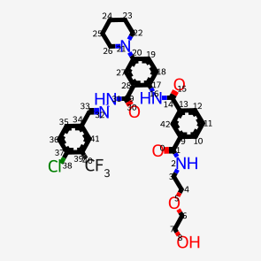 O=C(NCCOCCO)c1cccc(C(=O)Nc2ccc(N3CCCCC3)cc2C(=O)NN=Cc2ccc(Cl)c(C(F)(F)F)c2)c1